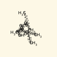 CCCCCCCCC(CCCCCC)OC(=O)CCC(=O)OCC(CN(C)CCO)OC(=O)CCC(=O)OC(CCCCCC)CCCCCCCC